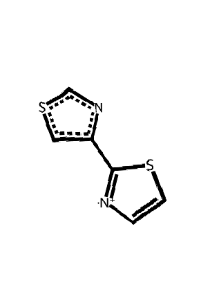 C1=CSC(c2cscn2)=[N+]1